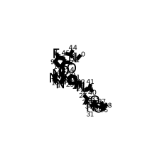 CCN(C(=O)c1cc(F)ccc1Oc1nncnc1N1CCC2(C1)CN([C@@H](CCCN(C)C(=O)OC(C)(C)C)C(C)C)C2)C(C)C